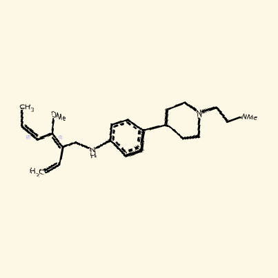 C=C/C(CNc1ccc(C2CCN(CCNC)CC2)cc1)=C(\C=C/C)OC